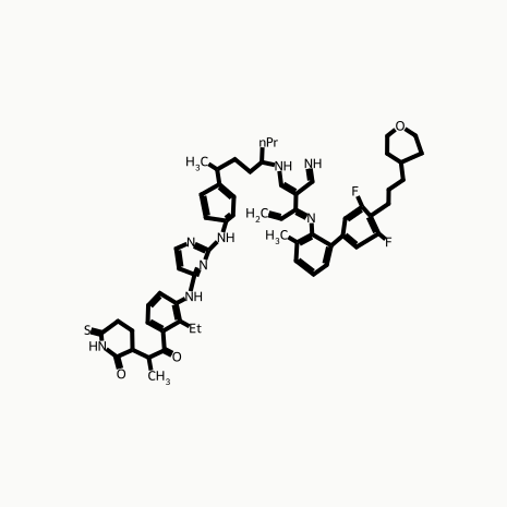 C=CC(=N\c1c(C)cccc1-c1cc(F)c(CCCC2CCOCC2)c(F)c1)/C(C=N)=C/NC(CCC)CCC(C)c1ccc(Nc2nccc(Nc3cccc(C(=O)C(C)C4CCC(=S)NC4=O)c3CC)n2)cc1